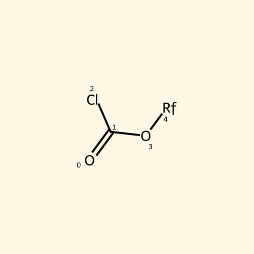 O=C(Cl)[O][Rf]